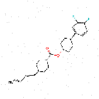 N#CC=CC=C[C@H]1CC[C@H](C(=O)O[C@H]2CC[C@H](c3ccc(F)c(F)c3)CC2)CC1